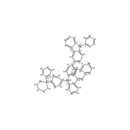 c1ccc(-n2c3ccccc3c3cc(-c4ccc(N(c5ccc(C6(c7ccccc7)CCCCC6)cc5)c5ccccc5-c5ccc6ccccc6c5)cc4)ccc32)cc1